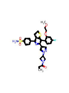 C=CC(=O)N1CC(n2cc(-c3nc(-c4ccc(S(N)(=O)=O)cc4)c4ccsc4c3-c3ccc(F)cc3OCCOC)cn2)C1